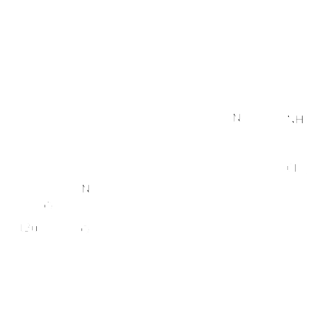 C[C@@H]1CN(c2cccc(CCCNC(=O)OC(C)(C)C)c2)CCN1